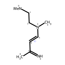 CNCCN(C)/C=C/C(C)=N